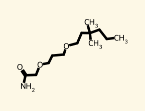 CCCC(C)(C)CCOCCCOCC(N)=O